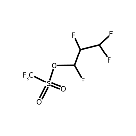 O=S(=O)(OC(F)C(F)C(F)F)C(F)(F)F